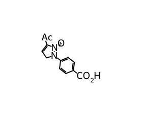 CC(=O)C1=CCN(c2ccc(C(=O)O)cc2)[N+]1=O